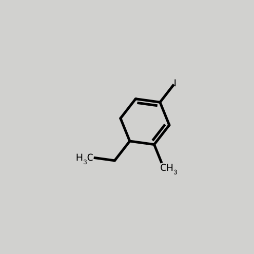 CCC1CC=C(I)C=C1C